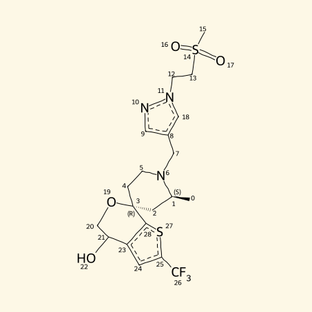 C[C@H]1C[C@@]2(CCN1Cc1cnn(CCS(C)(=O)=O)c1)OCC(O)c1cc(C(F)(F)F)sc12